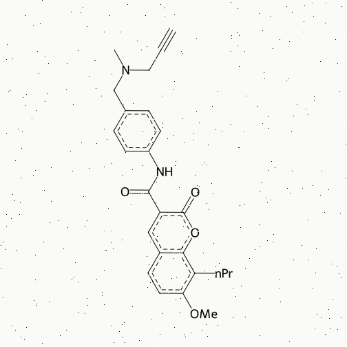 C#CCN(C)Cc1ccc(NC(=O)c2cc3ccc(OC)c(CCC)c3oc2=O)cc1